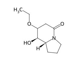 CCOC1CC(=O)N2CCC[C@@H]2[C@H]1O